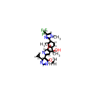 [2H]C([2H])([2H])Oc1ncnc(C2CC2)c1-c1cc(C(C)(O)c2ccc(-c3nc(C(F)(F)F)cn3C)cc2)c(OC)cn1